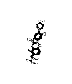 Cn1c(Nc2c(Cl)ccc(CNC(=O)C(C)(C)C)c2F)nc2cc(Cl)c(N3CCC(O)CC3)cc21